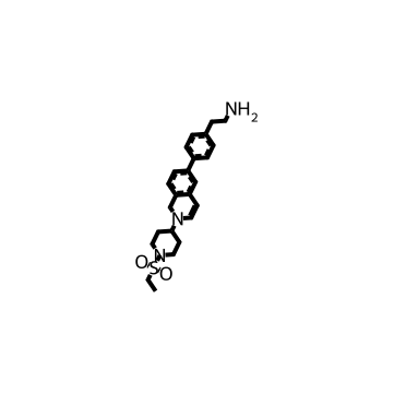 CCS(=O)(=O)N1CCC(N2C=Cc3cc(-c4ccc(CCN)cc4)ccc3C2)CC1